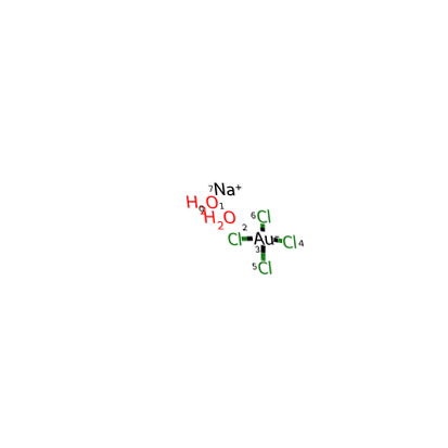 O.O.[Cl][Au-]([Cl])([Cl])[Cl].[Na+]